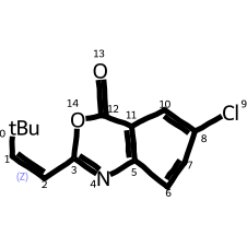 CC(C)(C)/C=C\c1nc2ccc(Cl)cc2c(=O)o1